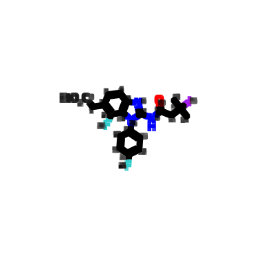 CCOC(=O)Cc1ccc2nc(NC(=O)CC(C)(C)I)n(-c3ccc(F)cc3)c2c1F